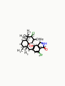 COC1C[C@@]23Oc4c(cc(Br)c5c4CNC5=O)C[C@]2(C)[C@@H](C)CC[C@H]3C(C)(C)C1Cl